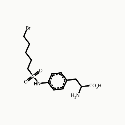 N[C@@H](Cc1ccc(NS(=O)(=O)CCCCCBr)cc1)C(=O)O